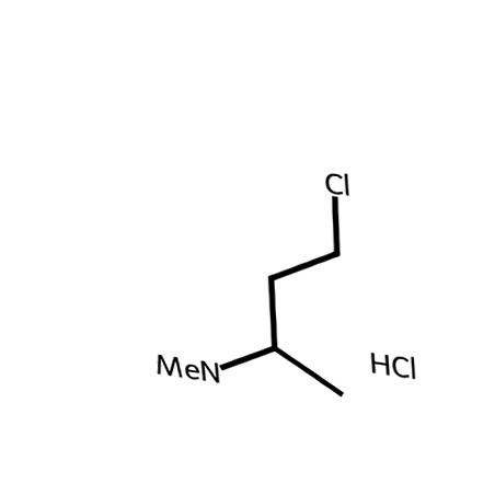 CNC(C)CCCl.Cl